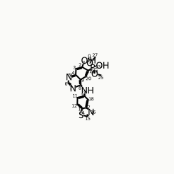 COc1cc2ncnc(Nc3ccc4scnc4c3)c2cc1[PH](O)(OC)OC